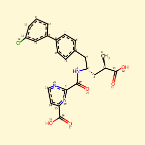 C[C@H](C[C@@H](Cc1ccc(-c2cccc(Cl)c2)cc1)NC(=O)c1nccc(C(=O)O)n1)C(=O)O